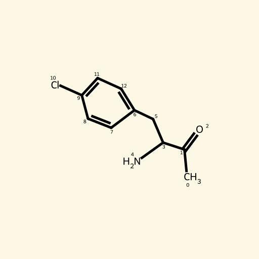 CC(=O)C(N)Cc1ccc(Cl)cc1